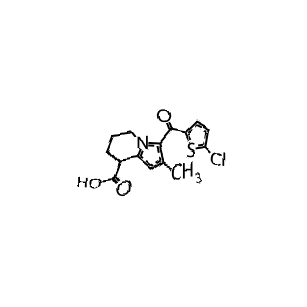 Cc1cc2n(c1C(=O)c1ccc(Cl)s1)CCCC2C(=O)O